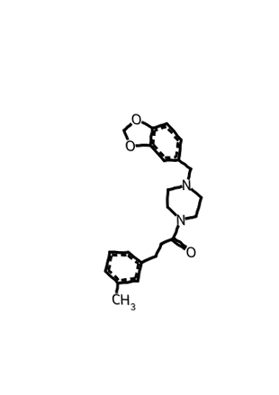 Cc1cccc(CCC(=O)N2CCN(Cc3ccc4c(c3)OCO4)CC2)c1